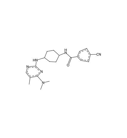 Cc1cnc(NC2CCC(NC(=O)c3ccc(C#N)cc3)CC2)nc1N(C)C